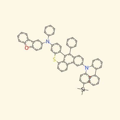 C[Si](C)(C)c1ccc(N(c2ccc3c(-c4ccccc4)c4c5c(cccc5c3c2)Sc2cc(N(c3ccccc3)c3ccc5oc6ccccc6c5c3)ccc2-4)c2ccccc2-c2ccccc2)cc1